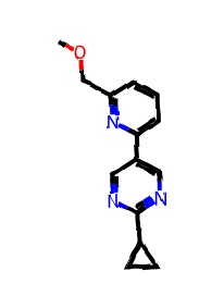 COCc1cccc(-c2cnc(C3CC3)nc2)n1